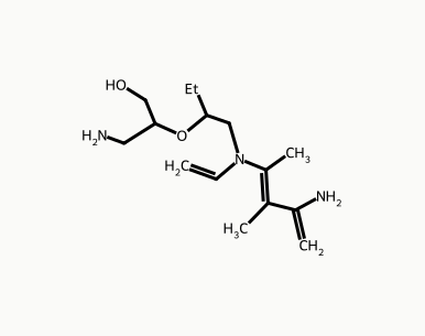 C=CN(CC(CC)OC(CN)CO)/C(C)=C(\C)C(=C)N